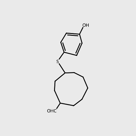 O=CC1CCCCCC(Sc2ccc(O)cc2)CC1